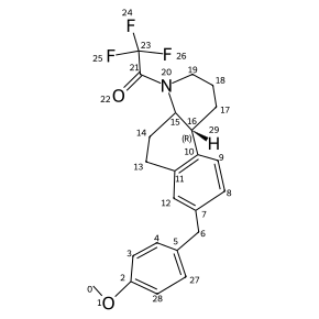 COc1ccc(Cc2ccc3c(c2)CCC2[C@@H]3CCCN2C(=O)C(F)(F)F)cc1